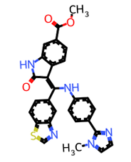 COC(=O)c1ccc2c(c1)NC(=O)C2=C(Nc1ccc(-c2nccn2C)cc1)c1ccc2scnc2c1